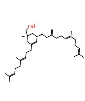 C=C(CC/C=C(\C)CCC=C(C)C)CC[C@H]1C=C(CC/C=C(\C)CCC=C(C)C)C[C@](C)(CO)C1